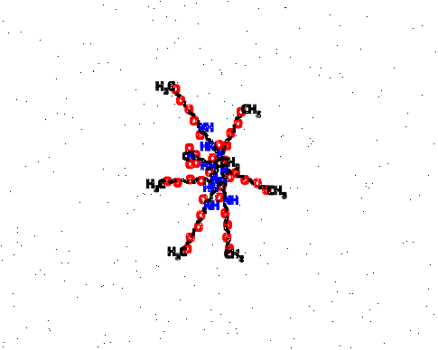 C=C(N(CCOCCOCCOCCOC)CC(=O)NCCCC(=O)NCCOCCOCCOCCOC)C(CC(=O)N(CCOCCOCCOCCOC)CC(=O)NCCCC(=O)NCCOCCOCCOCCOC)(CC(=O)N(CCOCCOCCOCCOC)CC(=O)NCCCC(=O)NCCOCCOCCOCCOC)NC(=O)CCC(=O)ON1C(=O)CCC1=O